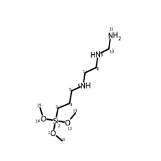 CO[Si](CCCNCCNCN)(OC)OC